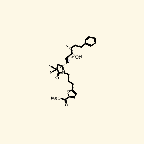 COC(=O)c1ccc(CCCN2C(=O)C(F)(F)C[C@@H]2/C=C/[C@@H](O)[C@H](C)CCc2ccccc2)s1